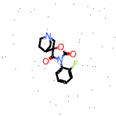 O=C1OC2(CN3CCC2CC3)C(=O)N1c1ccccc1F